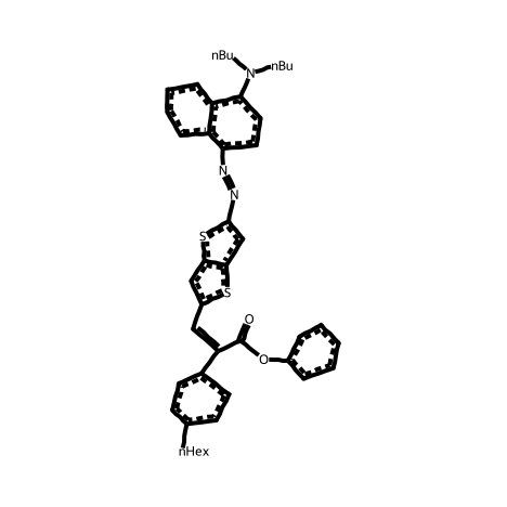 CCCCCCc1ccc(/C(=C/c2cc3sc(/N=N/c4ccc(N(CCCC)CCCC)c5ccccc45)cc3s2)C(=O)Oc2ccccc2)cc1